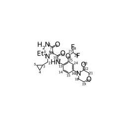 CCN(CC1CC1)[C@H](C(N)=O)C(=O)Nc1ccc(N2CCOCC2=O)cc1OC(F)F